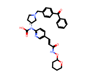 O=C(C=Cc1ccc(N(C(=O)O)[C@@H]2CCN(Cc3ccc(C(=O)c4ccccc4)cc3)C2)nc1)NOC1CCCCO1